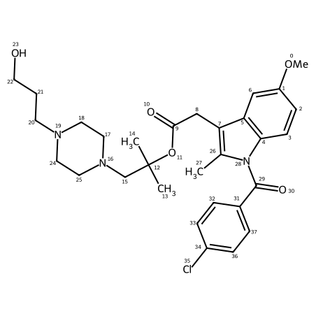 COc1ccc2c(c1)c(CC(=O)OC(C)(C)CN1CCN(CCCO)CC1)c(C)n2C(=O)c1ccc(Cl)cc1